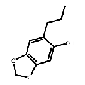 CCCc1cc2c(cc1O)OCO2